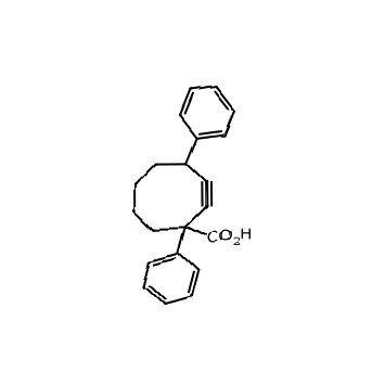 O=C(O)C1(c2ccccc2)C#CC(c2ccccc2)CCCC1